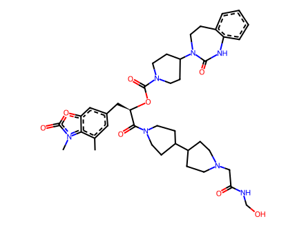 Cc1cc(C[C@@H](OC(=O)N2CCC(N3CCc4ccccc4NC3=O)CC2)C(=O)N2CCC(C3CCN(CC(=O)NCO)CC3)CC2)cc2oc(=O)n(C)c12